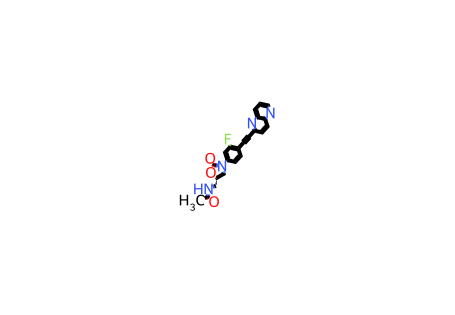 CC(=O)NC[C@H]1CN(c2ccc(C#Cc3ccc4ncccc4n3)c(F)c2)C(=O)O1